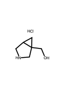 Cl.OCC12CNCC1C2